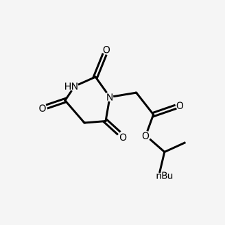 CCCCC(C)OC(=O)CN1C(=O)CC(=O)NC1=O